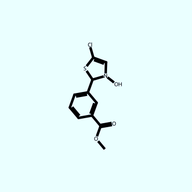 COC(=O)c1cccc(C2SC(Cl)=CN2O)c1